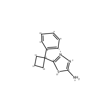 Nc1nnc(C2(c3ccccc3)CCC2)s1